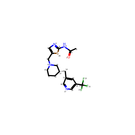 CC(=O)Nc1ncc(CN2CCC[C@@H](Cc3cncc(C(F)(F)F)c3)C2)s1